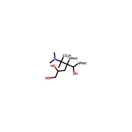 CCCCCC(O)C(CCCCC)(CC(O)CO)C(C)(C(=O)O)N(C)C